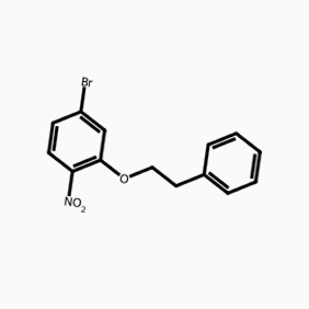 O=[N+]([O-])c1ccc(Br)cc1OCCc1ccccc1